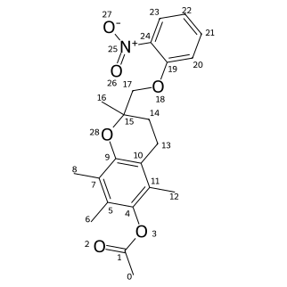 CC(=O)Oc1c(C)c(C)c2c(c1C)CCC(C)(COc1ccccc1[N+](=O)[O-])O2